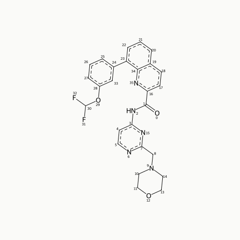 O=C(Nc1ccnc(CN2CCOCC2)n1)c1ccc2cccc(-c3cccc(OC(F)F)c3)c2n1